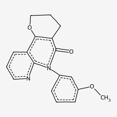 COc1cccc(-n2c(=O)c3c(c4cccnc42)OCCC3)c1